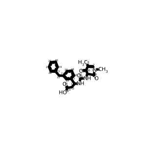 CC1=CN(C)C(=O)C(NC(=O)NC(CC(=O)O)c2cccc(Cc3ccccc3)c2)C1=O